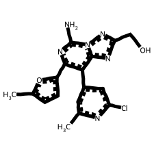 Cc1cc(-c2c(-c3ccc(C)o3)nc(N)n3nc(CO)nc23)cc(Cl)n1